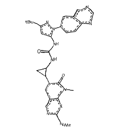 CNc1ncc2cc(C3CC3NC(=O)Nc3cc(C(C)(C)C)nn3-c3ccc4ncncc4c3)c(=O)n(C)c2n1